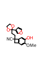 COc1cc2c(cc1O)C(C#N)(CCC1(c3ccoc3)OCCO1)C2